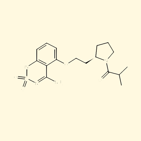 CC(C)C(=O)N1CCC[C@@H]1CCOc1cccc2c1C(N)=NS(=O)(=O)N2